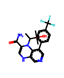 CC(N1C(C(N)=O)=CNc2cncc(-c3ccc(C(F)(F)F)cc3)c21)C(C)(C)O